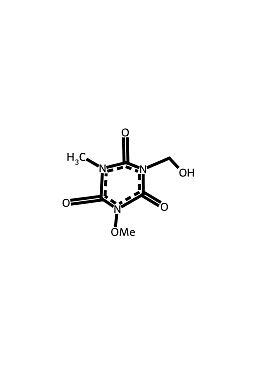 COn1c(=O)n(C)c(=O)n(CO)c1=O